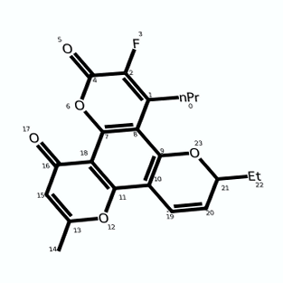 CCCc1c(F)c(=O)oc2c1c1c(c3oc(C)cc(=O)c32)[C]=CC(CC)O1